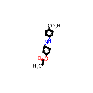 C=CC(=O)Oc1ccc(N=Nc2ccc(C(=O)O)cc2)cc1